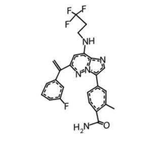 C=C(c1cccc(F)c1)c1cc(NCCC(F)(F)F)c2ncc(-c3ccc(C(N)=O)c(C)c3)n2n1